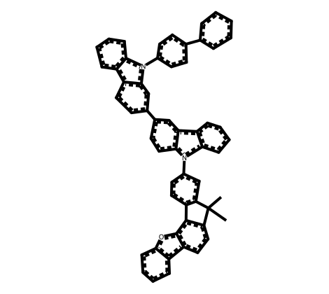 CC1(C)c2cc(-n3c4ccccc4c4cc(-c5ccc6c7ccccc7n(-c7ccc(-c8ccccc8)cc7)c6c5)ccc43)ccc2-c2c1ccc1c2oc2ccccc21